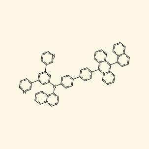 c1cncc(-c2cc(-c3cccnc3)cc(N(c3ccc(-c4ccc(-c5c6ccccc6c(-c6cccc7ccccc67)c6ccccc56)cc4)cc3)c3cccc4ccccc34)c2)c1